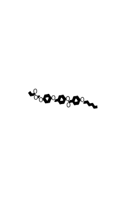 C=CC(=O)OCOc1ccc(OCc2ccc(OC(=O)c3ccc(OCCCCCC)cc3)cc2)cc1